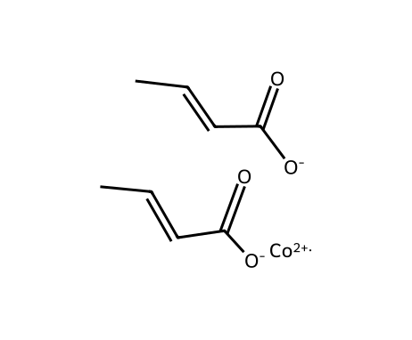 CC=CC(=O)[O-].CC=CC(=O)[O-].[Co+2]